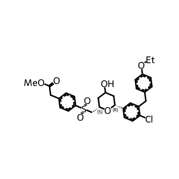 CCOc1ccc(Cc2cc([C@H]3CC(O)C[C@@H](CS(=O)(=O)c4ccc(CC(=O)OC)cc4)O3)ccc2Cl)cc1